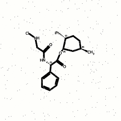 CC(C)[C@@H]1CC[C@@H](C)C[C@H]1OC(=O)[C@@H](NC(=O)CNCl)c1ccccc1